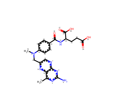 Cc1nc(N)nc2ncc(CN(C)c3ccc(C(=O)NC(CCC(=O)O)C(=O)O)cc3)nc12